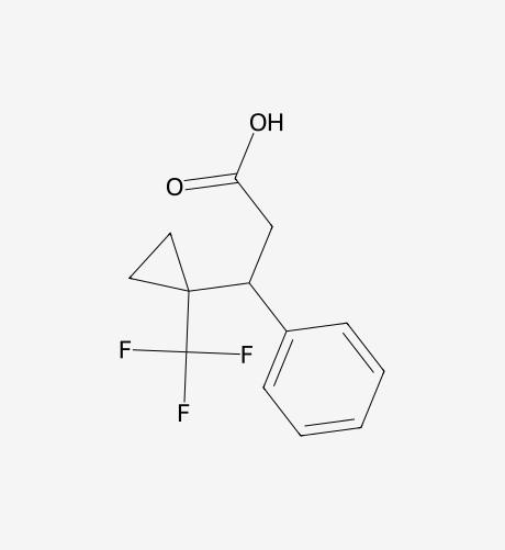 O=C(O)CC(c1ccccc1)C1(C(F)(F)F)CC1